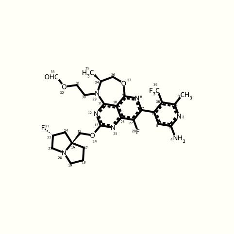 Cc1nc(N)cc(-c2nc3c4c(nc(OC[C@@]56CCCN5C[C@H](F)C6)nc4c2F)N(CCOC=O)[C@@H](C)CO3)c1C(F)(F)F